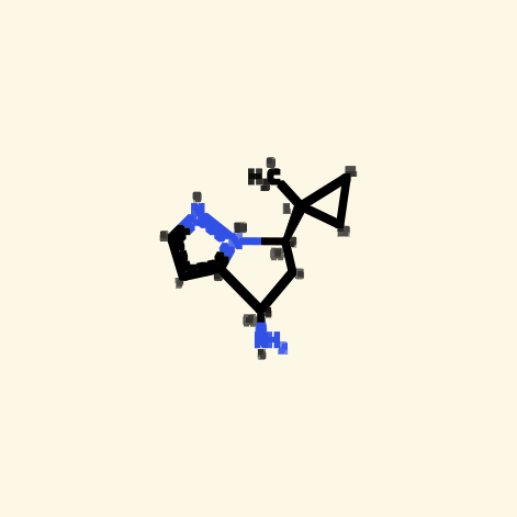 CC1([C@H]2C[C@@H](N)c3ccnn32)CC1